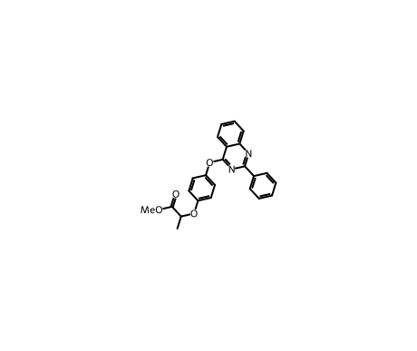 COC(=O)C(C)Oc1ccc(Oc2nc(-c3ccccc3)nc3ccccc23)cc1